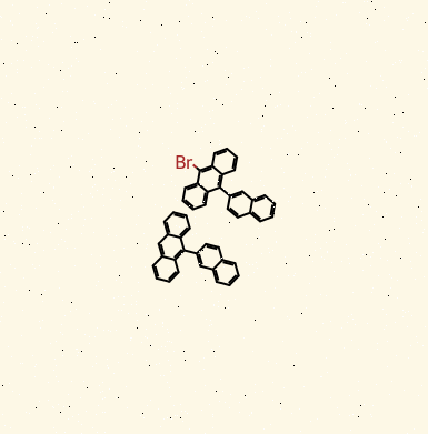 Brc1c2ccccc2c(-c2ccc3ccccc3c2)c2ccccc12.c1ccc2cc(-c3c4ccccc4cc4ccccc34)ccc2c1